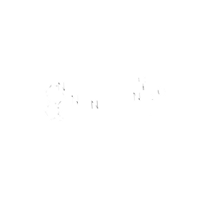 O=C1N(CCCCN2CCN(c3nccc4ccsc34)CC2)CC2(CCCC2)[S+]1[O-]